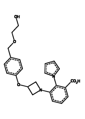 O=C(O)c1cccc(N2CC(Oc3ccc(COCCO)cc3)C2)c1-n1cccc1